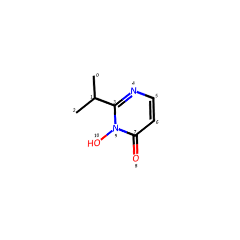 CC(C)c1nccc(=O)n1O